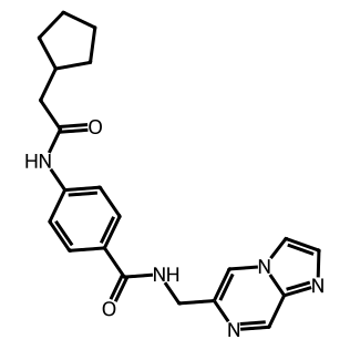 O=C(CC1CCCC1)Nc1ccc(C(=O)NCc2cn3ccnc3cn2)cc1